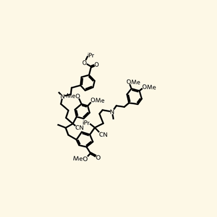 COC(=O)c1cc(CC(C)C(C#N)(CCCN(C)CCc2cccc(C(=O)OC(C)C)c2)c2ccc(OC)c(OC)c2)cc(C(C#N)(CCCN(C)CCc2ccc(OC)c(OC)c2)C(C)C)c1